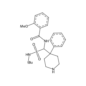 COc1ccccc1C(=O)NC(C1(c2ccccc2)CCNCC1)S(=O)(=O)NC(C)(C)C